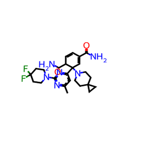 Cc1cc(C2(N3CCC4(CC3)CC4)C=C(C(N)=O)C=CC2C(N)=O)nc(N2CCC(F)(F)CC2)n1